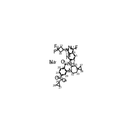 O=C(Nc1ccc2c(F)nn(C3CC(F)(F)C3)c2n1)c1ccc(S(=O)(=O)C2CC2)cc1N1CCC2(CC1)CC2.[Na]